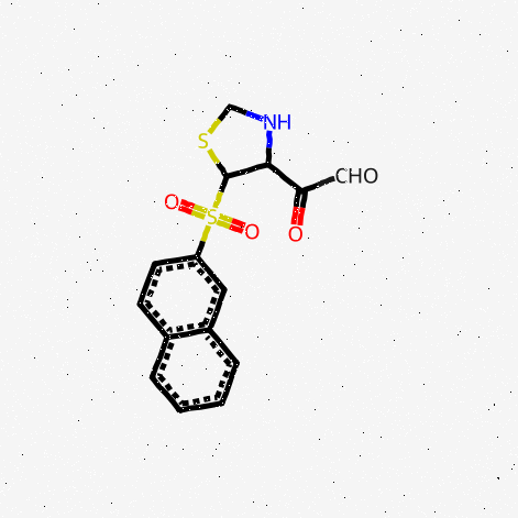 O=CC(=O)C1NCSC1S(=O)(=O)c1ccc2ccccc2c1